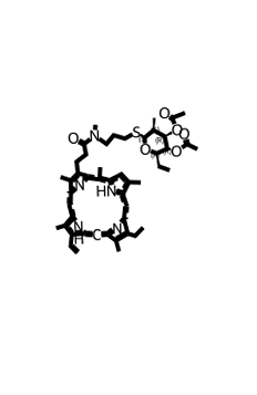 C=Cc1c(C)c2cc3nc(c(C)c4cc(C)c(cc5nc(cc1[nH]2)C(C)=C5CC)[nH]4)C(CCC(=O)N(C)CCCS[C@@H]1O[C@H](CC)[C@@H](OC(C)=O)[C@H](OC(C)=O)[C@@H]1C)=C3C